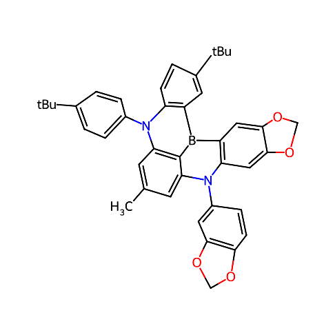 Cc1cc2c3c(c1)N(c1ccc4c(c1)OCO4)c1cc4c(cc1B3c1cc(C(C)(C)C)ccc1N2c1ccc(C(C)(C)C)cc1)OCO4